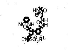 CCOC(=O)C(C)(CC(C)(CC)C(=O)O)CC(C)(CC(C)(C)C(=O)Nc1ccccc1C#N)c1cccc(C(C)(C)NC(=O)NCCN2C(=O)NC(C)(C)C2=O)c1